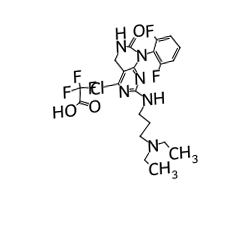 CCN(CC)CCCNc1nc(Cl)c2c(n1)N(c1c(F)cccc1F)C(=O)NC2.O=C(O)C(F)(F)F